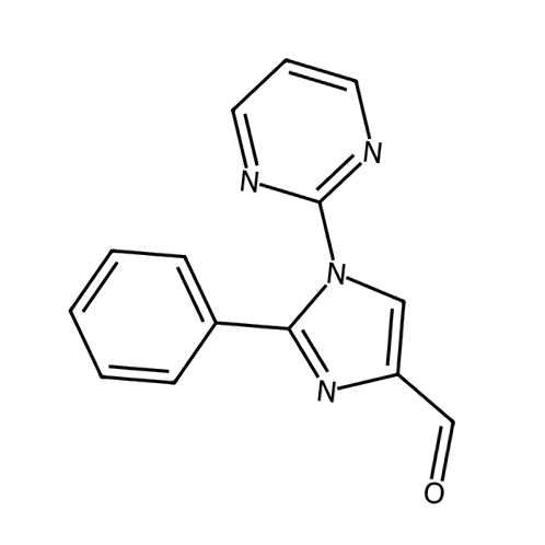 O=Cc1cn(-c2ncccn2)c(-c2ccccc2)n1